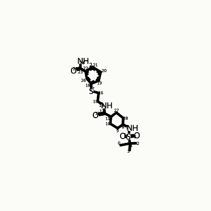 CC(C)(C)S(=O)(=O)NC1CCC(C(=O)NCCSc2cccc(C(N)=O)c2)CC1